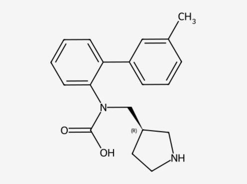 Cc1cccc(-c2ccccc2N(C[C@@H]2CCNC2)C(=O)O)c1